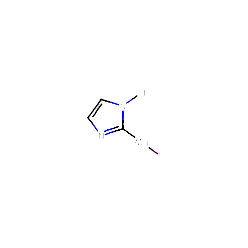 Cn1ccn[c]1[Mg][I]